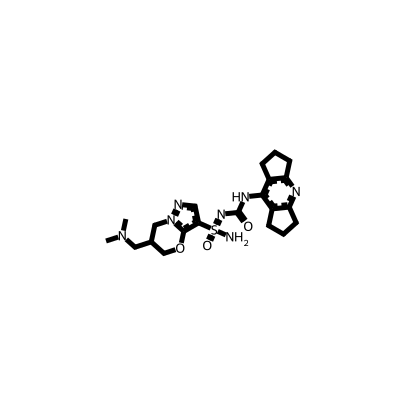 CN(C)CC1COc2c(S(N)(=O)=NC(=O)Nc3c4c(nc5c3CCC5)CCC4)cnn2C1